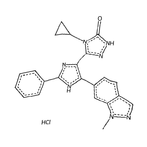 Cl.Cn1ncc2ccc(-c3[nH]c(-c4ccccc4)nc3-c3n[nH]c(=O)n3C3CC3)cc21